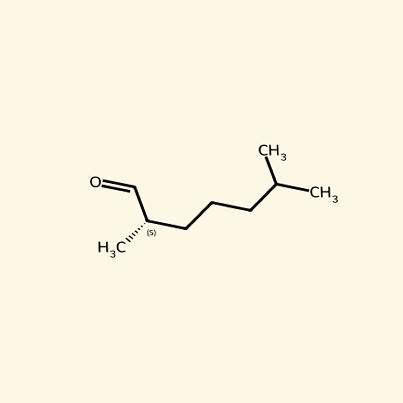 CC(C)CCC[C@H](C)C=O